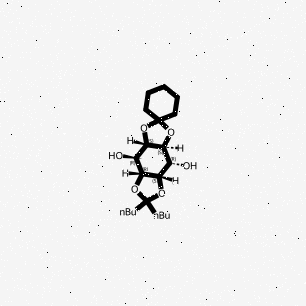 CCCCC1(CCCC)O[C@@H]2[C@@H](O)[C@@H]3OC4(CCCCC4)O[C@H]3[C@H](O)[C@@H]2O1